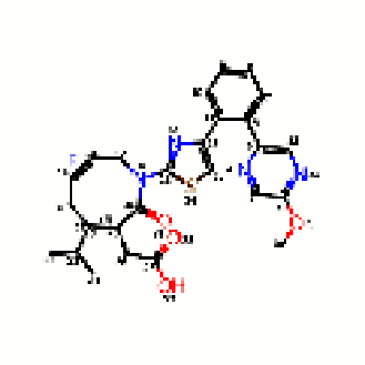 COc1cnc(-c2ccccc2-c2csc(N3C/C=C\C[C@H](C(C)C)[C@H](CC(=O)O)C3=O)n2)cn1